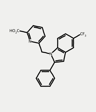 O=C(O)c1cccc(Cn2c(-c3ccccc3)cc3cc(C(F)(F)F)ccc32)n1